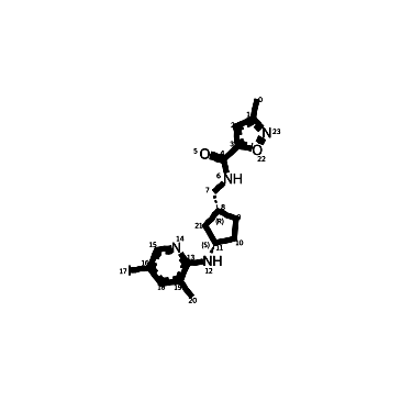 Cc1cc(C(=O)NC[C@@H]2CC[C@H](Nc3ncc(I)cc3C)C2)on1